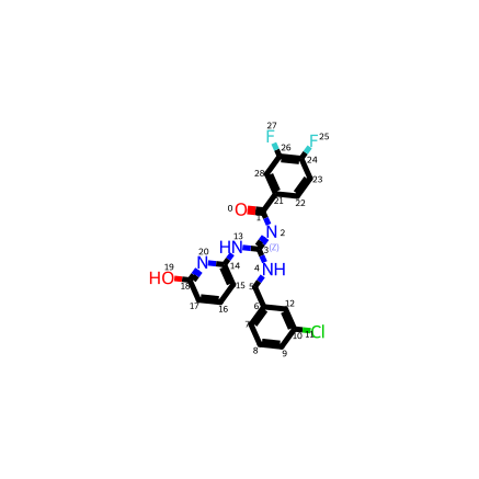 O=C(/N=C(/NCc1cccc(Cl)c1)Nc1cccc(O)n1)c1ccc(F)c(F)c1